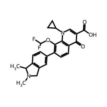 CC1c2ccc(-c3ccc4c(=O)c(C(=O)O)cn(C5CC5)c4c3OC(F)F)cc2CN1C